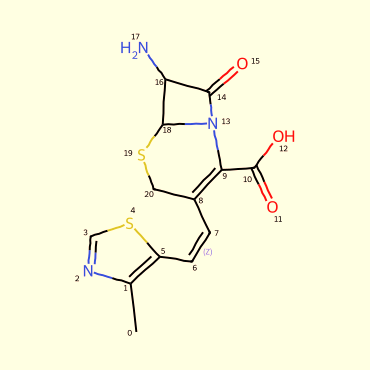 Cc1ncsc1/C=C\C1=C(C(=O)O)N2C(=O)C(N)C2SC1